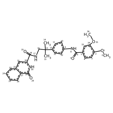 COc1ccc(C(=O)Nc2ccc(C(C)(C)CNC(=O)c3cc4ccccc4c(=O)[nH]3)cc2)cc1OC